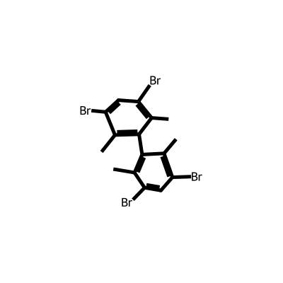 Cc1c(Br)cc(Br)c(C)c1-c1c(C)c(Br)cc(Br)c1C